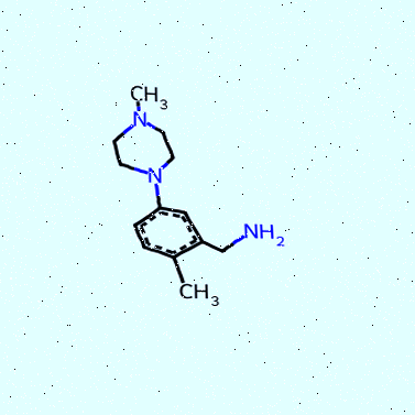 Cc1ccc(N2CCN(C)CC2)cc1CN